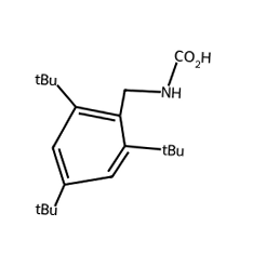 CC(C)(C)c1cc(C(C)(C)C)c(CNC(=O)O)c(C(C)(C)C)c1